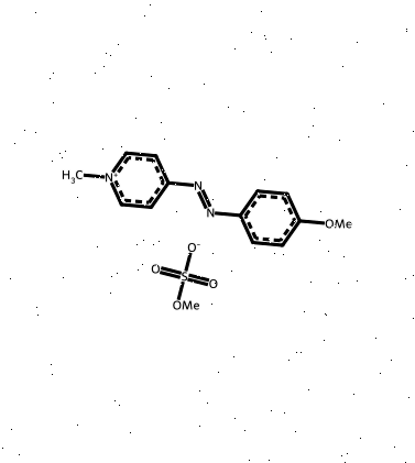 COS(=O)(=O)[O-].COc1ccc(/N=N/c2cc[n+](C)cc2)cc1